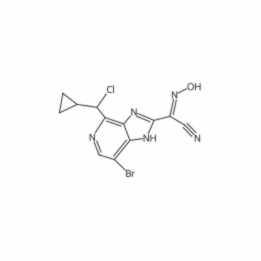 N#CC(=NO)c1nc2c(C(Cl)C3CC3)ncc(Br)c2[nH]1